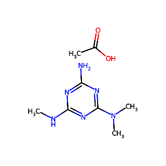 CC(=O)O.CNc1nc(N)nc(N(C)C)n1